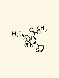 C=CCN1C(C(=O)OC)=CC(c2cccs2)=NS1(=O)=O